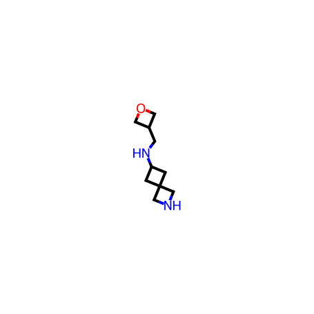 C(NC1CC2(CNC2)C1)C1COC1